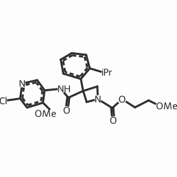 COCCOC(=O)N1CC(C(=O)Nc2cnc(Cl)cc2OC)(c2ccccc2C(C)C)C1